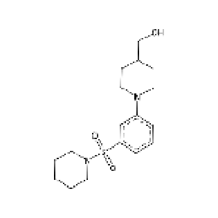 O=S(=O)(c1cccc(N2CCC(CO)CC2)c1)N1CCCCC1